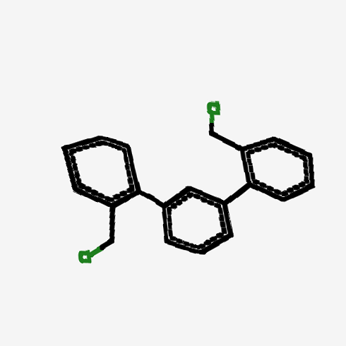 ClCc1ccccc1-c1cccc(-c2ccccc2CCl)c1